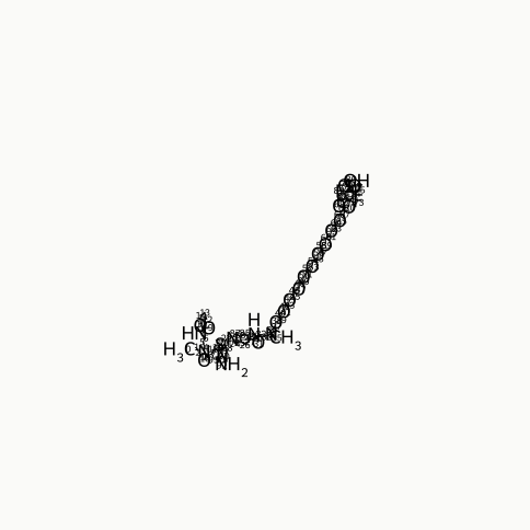 CCCN(CCCNC(=O)OC1CCC1)C(=O)C1=Cc2sc(CN3Cc4ccc(NC(=O)CCN(C)CCOCCOCCOCCOCCOCCOCCOCCOCCOCCOCCC(=O)Oc5c(F)c(F)c(S(=O)(=O)O)c(F)c5F)cc4C3)cc2N=C(N)C1